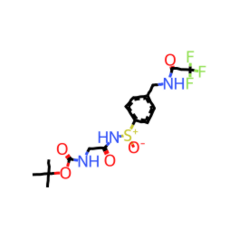 CC(C)(C)OC(=O)NCC(=O)N[S+]([O-])c1ccc(CNC(=O)C(F)(F)F)cc1